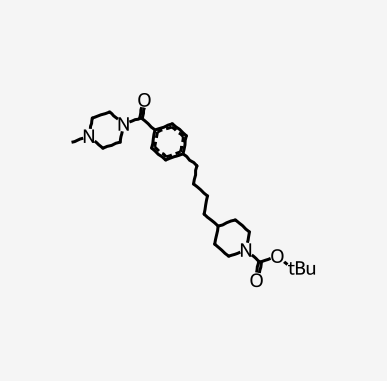 CN1CCN(C(=O)c2ccc(CCCCC3CCN(C(=O)OC(C)(C)C)CC3)cc2)CC1